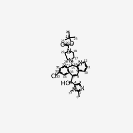 Cc1ncc(C(O)C2=Cc3cccnc3[C@@H](N3CCN(C(=O)OC(C)(C)C)CC3)c3ccc(Cl)cc32)n1C